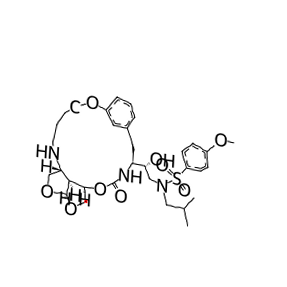 COc1ccc(S(=O)(=O)N(CC(C)C)C[C@@H](O)[C@@H]2Cc3cccc(c3)OCCCCN[C@H]3CO[C@@H]4OC[C@H](OC(=O)N2)[C@@H]43)cc1